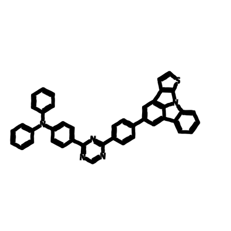 c1ccc(N(c2ccccc2)c2ccc(-c3ncnc(-c4ccc(-c5cc6c7ccccc7n7c8sccc8c(c5)c67)cc4)n3)cc2)cc1